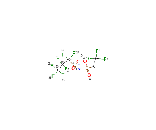 O=S(=O)(CC(F)(F)F)NS(=O)(=O)C(F)(F)C(F)(F)C(F)(F)F